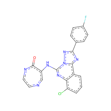 O=c1nccncc1Nc1nc2c(Cl)cccc2c2nc(-c3ccc(F)cc3)nn12